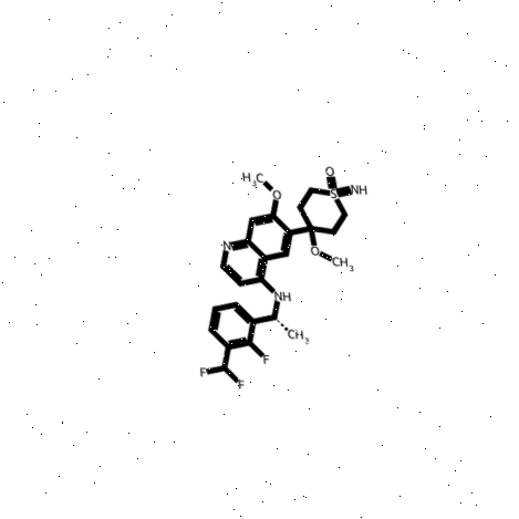 COc1cc2nccc(N[C@H](C)c3cccc(C(F)F)c3F)c2cc1C1(OC)CCS(=N)(=O)CC1